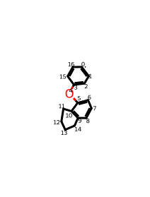 [c]1ccc(Oc2cccc3c2CCCC3)cc1